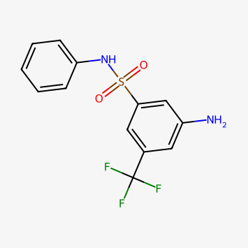 Nc1cc(C(F)(F)F)cc(S(=O)(=O)Nc2ccccc2)c1